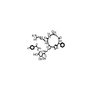 N=C(N)NCCC[C@@H]1NC(=O)C(CCCNC(=O)C2O[C@H](CNC(=O)c3ccc(F)cc3)C(O)C(O)[C@@H]2O)n2cc(nn2)C(c2ccccc2)NC(=O)CNC(=O)CNC1=O